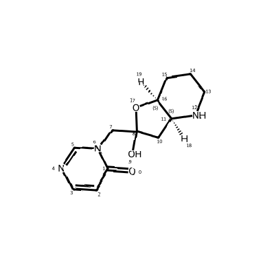 O=c1ccncn1CC1(O)C[C@@H]2NCCC[C@@H]2O1